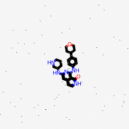 O=c1[nH]ccc2cc(N[C@@H]3CCCNC3)nc(Nc3ccc(C4CCOCC4)cc3)c12